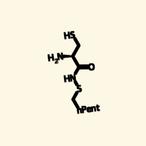 CCCCCCSNC(=O)[C@@H](N)CS